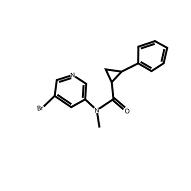 CN(C(=O)C1CC1c1ccccc1)c1cncc(Br)c1